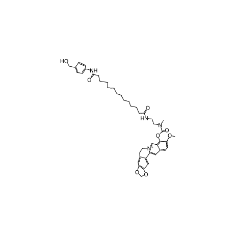 COc1ccc2cc3[n+](cc2c1OC(=O)N(C)CCNC(=O)CCCCCCCCCCCCC(=O)Nc1ccc(CO)cc1)CCc1cc2c(cc1-3)OCO2